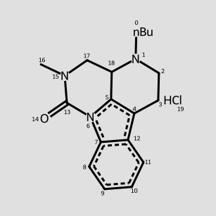 CCCCN1CCc2c3n(c4ccccc24)C(=O)N(C)CC31.Cl